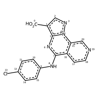 O=C(O)c1cnn2c1nc(Nc1ccc(Cl)cc1)c1ccncc12